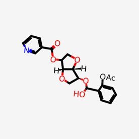 CC(=O)Oc1ccccc1C(O)O[C@H]1CO[C@@H]2C(OC(=O)c3cccnc3)CO[C@H]12